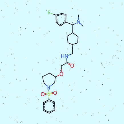 CN(C)C(c1ccc(F)cc1)C1CCC(CNC(=O)COC2CCCN(S(=O)(=O)c3ccccc3)C2)CC1